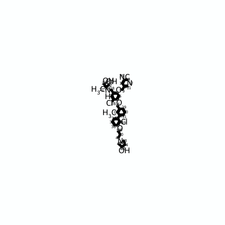 Cc1c(COc2cc(OCc3cncc(C#N)c3)c(CNC(C)(CO)CO)cc2Cl)cccc1-c1cccc(OCCCN2CCC(O)C2)c1Cl